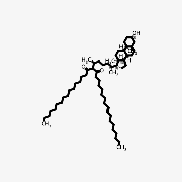 CCCCCCCCC=CCCCCCCCC(=O)C(C(=O)CCCCCCCCCCCCCCC)C(C)CCC[C@@H](C)[C@H]1CC[C@H]2[C@@H]3CC=C4C[C@@H](O)CC[C@]4(C)[C@H]3CC[C@]12C